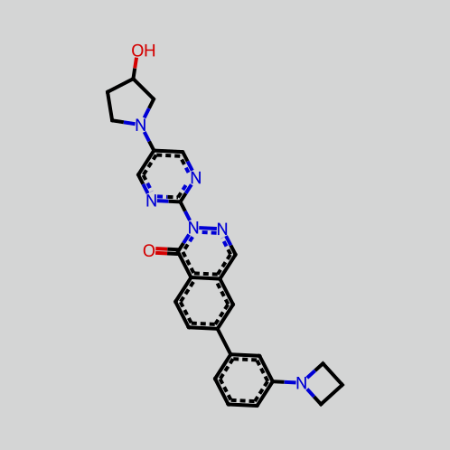 O=c1c2ccc(-c3cccc(N4CCC4)c3)cc2cnn1-c1ncc(N2CCC(O)C2)cn1